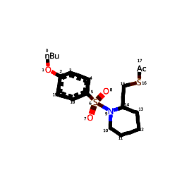 CCCCOc1ccc(S(=O)(=O)N2CCCCC2CSC(C)=O)cc1